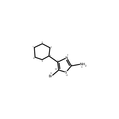 Nc1nc(C2CCCCC2)c(Br)s1